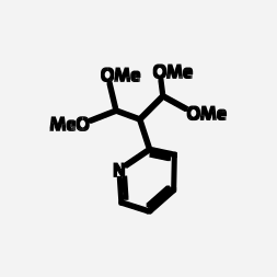 COC(OC)C(c1ccccn1)C(OC)OC